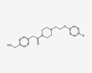 O=C(Cc1ccc(CO)cc1)N1CCN(CCOc2ccc(F)cc2)CC1